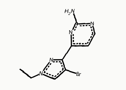 CCn1cc(Br)c(-c2ccnc(N)n2)n1